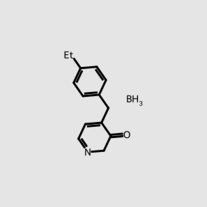 B.CCc1ccc(CC2=CC=NCC2=O)cc1